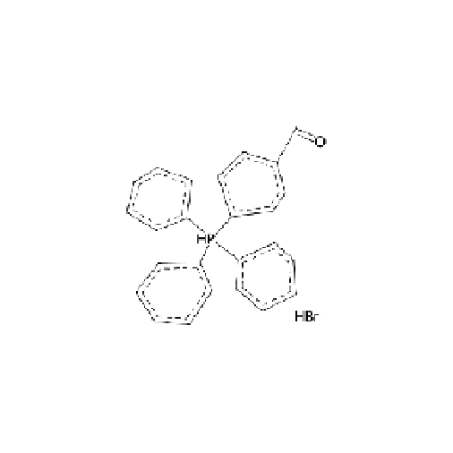 Br.O=Cc1ccc([PH](c2ccccc2)(c2ccccc2)c2ccccc2)cc1